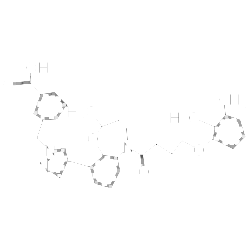 Cc1cccc(OCCCC(=O)N2CCC(C)Oc3c(-c4cnn(Cc5cccc(C(=O)O)c5)c4)cccc32)c1C